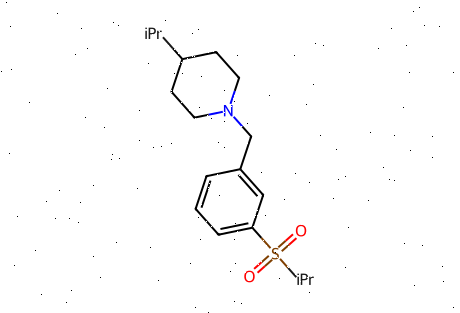 CC(C)C1CCN(Cc2cccc(S(=O)(=O)C(C)C)c2)CC1